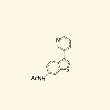 CC(=O)Nc1ccc2c(-c3cccnc3)csc2c1